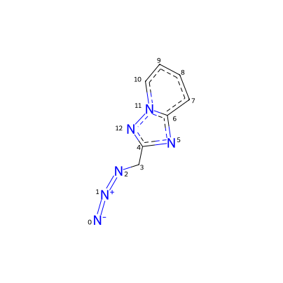 [N-]=[N+]=NCc1nc2ccccn2n1